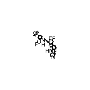 CCP(=O)(CC)c1ccc(NCC#Cc2sc3c(NC4CCN(C)C[C@@H]4F)cccc3c2CC(F)(F)F)c(OCF)c1